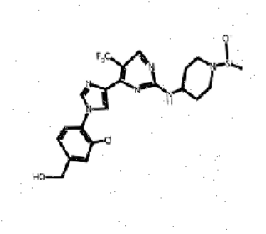 C[S+]([O-])N1CCC(Nc2ncc(C(F)(F)F)c(-c3cn(-c4ccc(CO)cc4Cl)cn3)n2)CC1